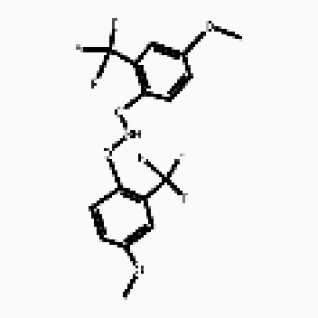 COc1ccc(OBOc2ccc(OC)cc2C(F)(F)F)c(C(F)(F)F)c1